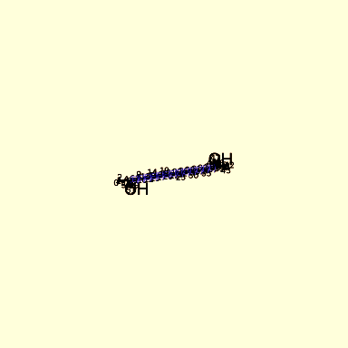 CC(C)=CCC(/C=C/C(C)=C/C=C/C(C)=C/C=C/C(C)=C/C=C/C=C(C)/C=C/C=C(C)/C=C/C=C(C)/C=C/C(CC=C(C)C)C(C)(C)O)C(C)(C)O